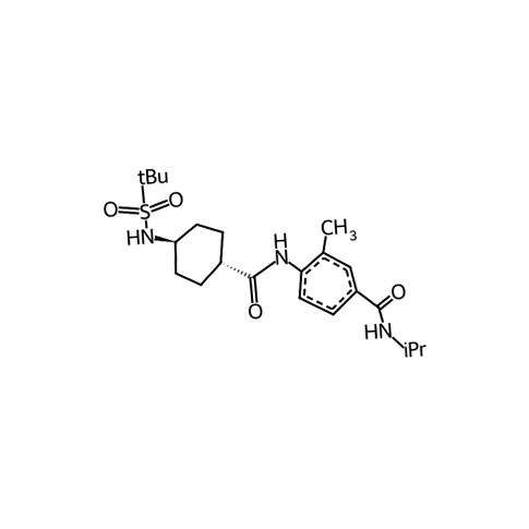 Cc1cc(C(=O)NC(C)C)ccc1NC(=O)[C@H]1CC[C@H](NS(=O)(=O)C(C)(C)C)CC1